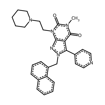 Cn1c(=O)c2c(-c3ccncc3)n(Cc3cccc4ccccc34)nc2n(CCN2CCCCC2)c1=O